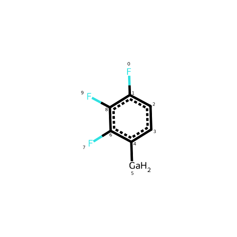 Fc1cc[c]([GaH2])c(F)c1F